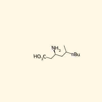 CCCCC(C)C[C@H](N)CC(=O)O